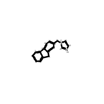 c1ccc2c(c1)Cc1cc(Cn3ccnc3)ccc1-2